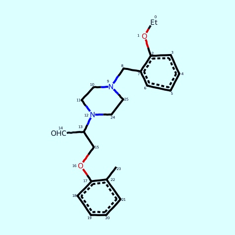 CCOc1ccccc1CN1CCN(C(C=O)COc2ccccc2C)CC1